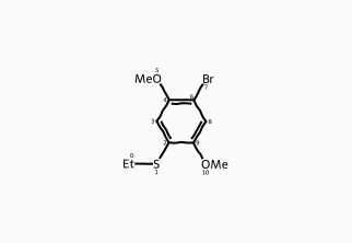 CCSc1cc(OC)c(Br)cc1OC